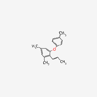 CC=Cc1c(C)cc(C)cc1Oc1ccc(C)cc1